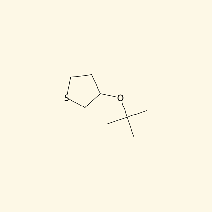 CC(C)(C)OC1CCSC1